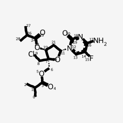 CC(C)C(=O)OC[C@@]1(CCl)O[C@@H](n2cc(F)c(N)nc2=O)C[C@@H]1OC(=O)C(C)C